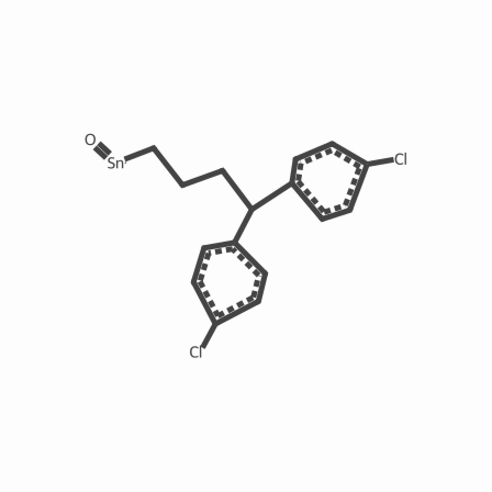 [O]=[Sn][CH2]CCC(c1ccc(Cl)cc1)c1ccc(Cl)cc1